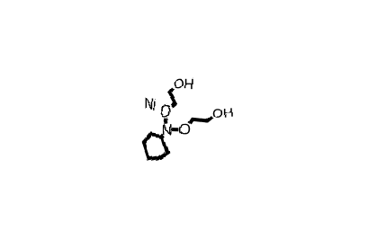 OCCON(OCCO)C1CCCCC1.[Ni]